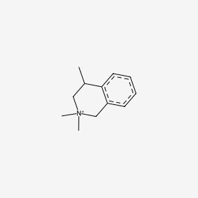 CC1C[N+](C)(C)Cc2ccccc21